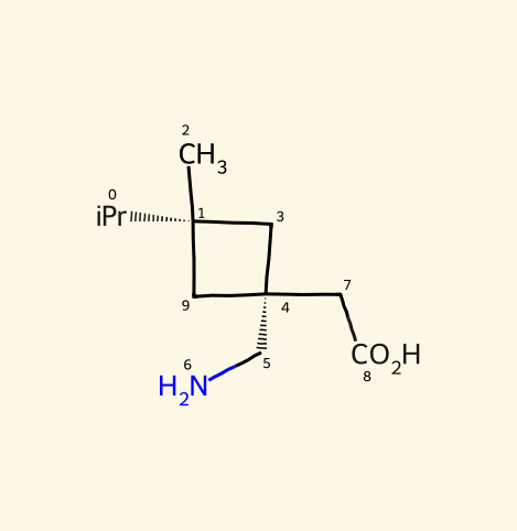 CC(C)[C@]1(C)C[C@@](CN)(CC(=O)O)C1